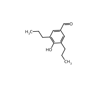 CCCc1cc(C=O)cc(CCC)c1O